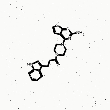 Nc1nc(N2CCN(C(=O)CCc3c[nH]c4ccccc34)CC2)c2ccsc2n1